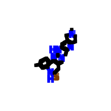 Cc1ccc2c(c1)NC(=S)Cc1cnc(Nc3cc4c(nc3C)CCN(C)C4)nc1-2